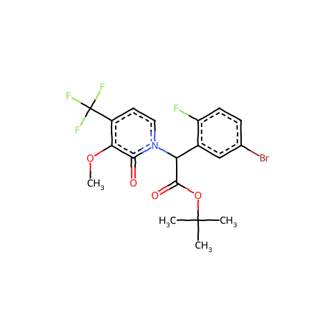 COc1c(C(F)(F)F)ccn(C(C(=O)OC(C)(C)C)c2cc(Br)ccc2F)c1=O